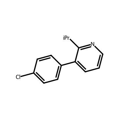 CC(C)c1ncccc1-c1ccc(Cl)cc1